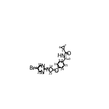 C[C@H](NC(=O)C1CC1)c1ccc(OC2CN(c3ncc(Br)cn3)C2)cc1